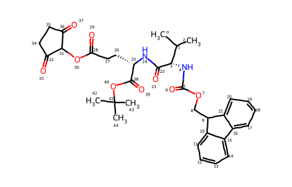 CC(C)[C@H](NC(=O)OCC1c2ccccc2-c2ccccc21)C(=O)N[C@@H](CCC(=O)OC1C(=O)CCC1=O)C(=O)OC(C)(C)C